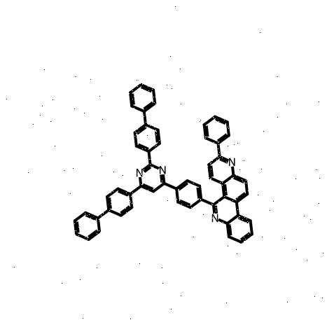 c1ccc(-c2ccc(-c3cc(-c4ccc(-c5nc6ccccc6c6ccc7nc(-c8ccccc8)ccc7c56)cc4)nc(-c4ccc(-c5ccccc5)cc4)n3)cc2)cc1